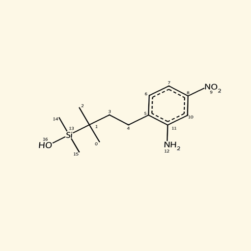 CC(C)(CCc1ccc([N+](=O)[O-])cc1N)[Si](C)(C)O